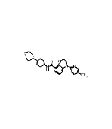 Cc1ccc(N2CCOc3c(C(=O)NC4CCC(N5CCOCC5)CC4)cccc32)nc1